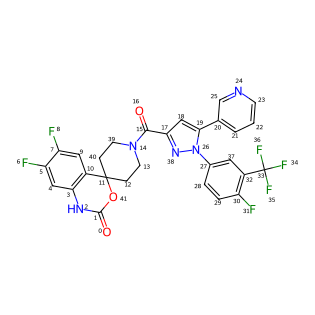 O=C1Nc2cc(F)c(F)cc2C2(CCN(C(=O)c3cc(-c4cccnc4)n(-c4ccc(F)c(C(F)(F)F)c4)n3)CC2)O1